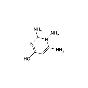 NC1=CC(O)=NC(N)N1N